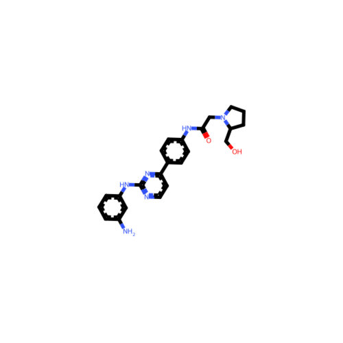 Nc1cccc(Nc2nccc(-c3ccc(NC(=O)CN4CCCC4CO)cc3)n2)c1